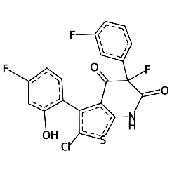 O=C1Nc2sc(Cl)c(-c3ccc(F)cc3O)c2C(=O)C1(F)c1cccc(F)c1